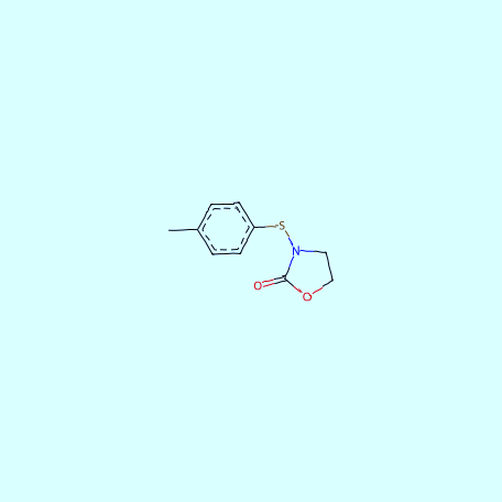 Cc1ccc(SN2CCOC2=O)cc1